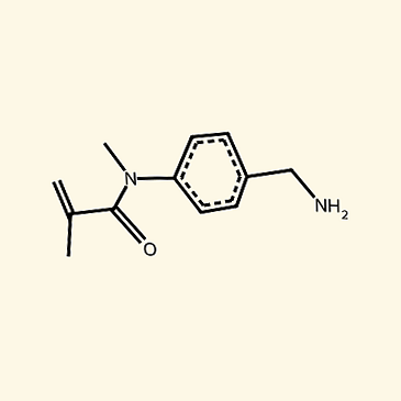 C=C(C)C(=O)N(C)c1ccc(CN)cc1